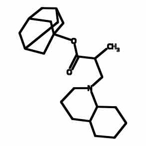 CC(CN1CCCC2CCCCC21)C(=O)OC12CC3CC(CC(C3)C1)C2